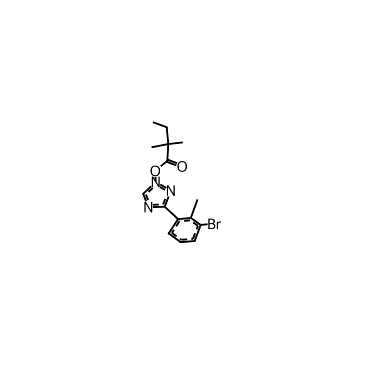 CCC(C)(C)C(=O)On1cnc(-c2cccc(Br)c2C)n1